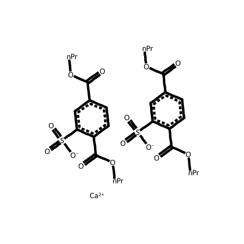 CCCOC(=O)c1ccc(C(=O)OCCC)c(S(=O)(=O)[O-])c1.CCCOC(=O)c1ccc(C(=O)OCCC)c(S(=O)(=O)[O-])c1.[Ca+2]